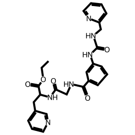 CCOC(=O)C(Cc1cccnc1)NC(=O)CNC(=O)c1cccc(NC(=O)NCc2ccccn2)c1